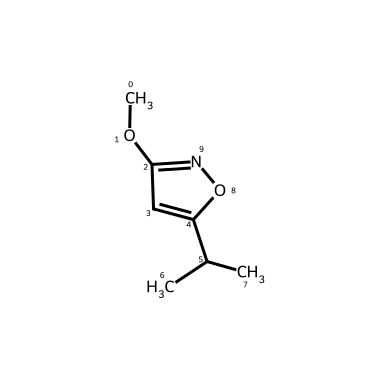 COc1cc(C(C)C)on1